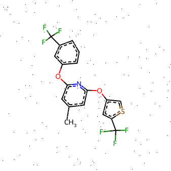 Cc1cc(Oc2cccc(C(F)(F)F)c2)nc(Oc2csc(C(F)(F)F)c2)c1